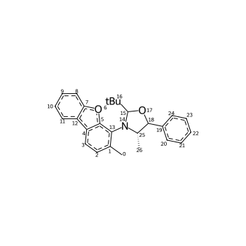 Cc1ccc2c(oc3ccccc32)c1N1C(C(C)(C)C)OC(c2ccccc2)[C@@H]1C